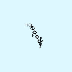 C=CCOc1ccc(-c2ccc(-c3ccc(C4CCC(C(C)O)OC4)cc3F)cc2)c(F)c1F